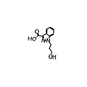 O=C(O)c1nn(CCCO)c2ccccc12